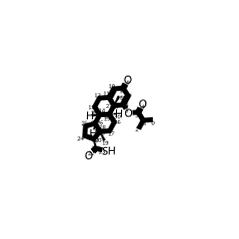 CC(C)C(=O)OC1=CC(=O)C=C2CC[C@@H]3[C@H](CC[C@]4(C)[C@@H](C(=O)S)CC[C@@H]34)[C@]21C